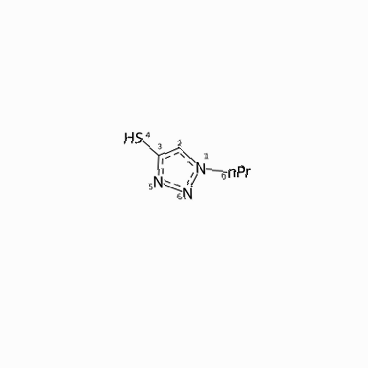 CCCn1cc(S)nn1